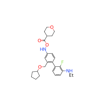 CCNc1cccc(-c2ccc(NOC(=O)C3CCOCC3)cc2COC2CCCC2)c1F